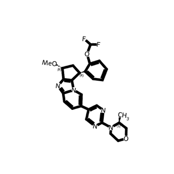 CO[C@@H]1C[C@H](c2ccccc2OC(F)F)c2c1nc1ccc(-c3cnc(N4CCOC[C@@H]4C)nc3)cn21